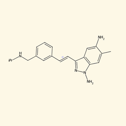 Cc1cc2c(cc1N)c(/C=C/c1cccc(CNC(C)C)c1)nn2N